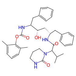 Cc1cccc(C)c1OC(=O)NC(Cc1ccccc1)[C@@H](O)C[C@H](Cc1ccccc1)NC(=O)C(C(C)C)N1CCCNC1=O